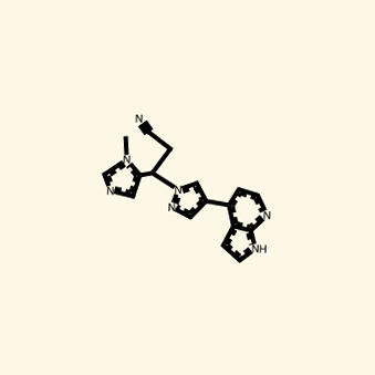 Cn1cncc1C(CC#N)n1cc(-c2ccnc3[nH]ccc23)cn1